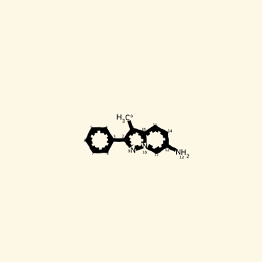 Cc1c(-c2ccccc2)nn2cc(N)ccc12